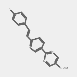 CCCCCc1cnc(-c2ccc(C=Cc3ccc(F)cc3)nc2)nc1